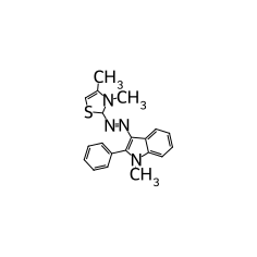 CC1=CSC(N=Nc2c(-c3ccccc3)n(C)c3ccccc23)N1C